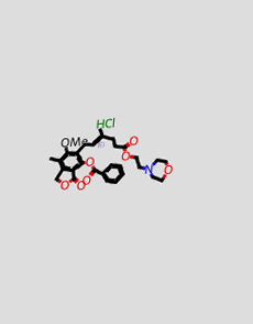 COc1c(C)c2c(c(OC(=O)c3ccccc3)c1C/C=C(\C)CCC(=O)OCCN1CCOCC1)C(=O)OC2.Cl